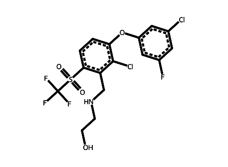 O=S(=O)(c1ccc(Oc2cc(F)cc(Cl)c2)c(Cl)c1CNCCO)C(F)(F)F